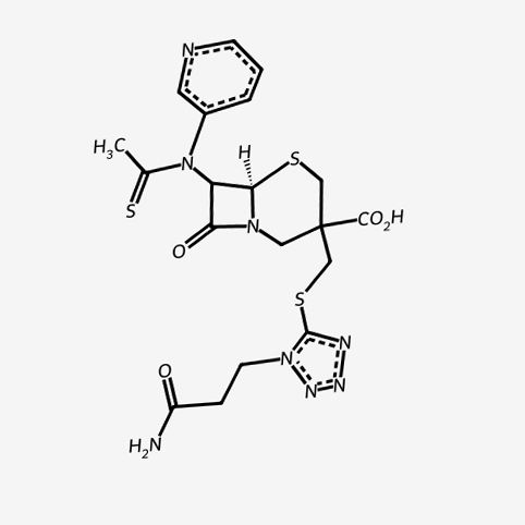 CC(=S)N(c1cccnc1)C1C(=O)N2CC(CSc3nnnn3CCC(N)=O)(C(=O)O)CS[C@H]12